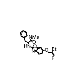 CC/C(=C/F)COc1ccc2nc(NC(Cc3ccccc3)C(=O)NC)oc2c1